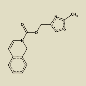 Cc1nc(COC(=O)N2C=Cc3ccccc3C2)cs1